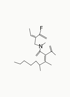 C=C(F)/C(=C\C)CN(C)C(=C)/C(C(=C)C)=C(/C)C(C)CCCCC